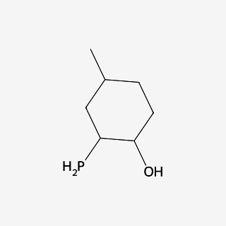 CC1CCC(O)C(P)C1